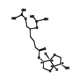 O=C(CCCC(CON(O)O)ON(O)O)O[C@H]1CO[C@H]2[C@@H]1OC[C@@H]2O